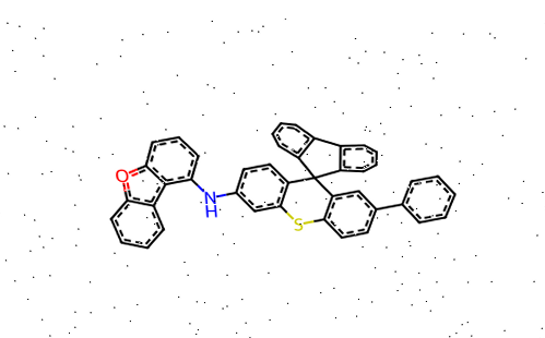 c1ccc(-c2ccc3c(c2)C2(c4ccc(Nc5cccc6oc7ccccc7c56)cc4S3)c3ccccc3-c3ccccc32)cc1